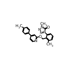 Cc1ccc(-c2ccnc(OCc3c(C)cccc3-n3nnn(C)c3=O)c2)cc1